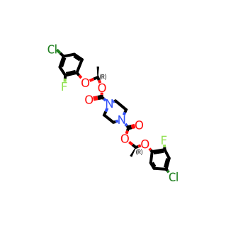 C[C@@H](OC(=O)N1CCN(C(=O)O[C@H](C)Oc2ccc(Cl)cc2F)CC1)Oc1ccc(Cl)cc1F